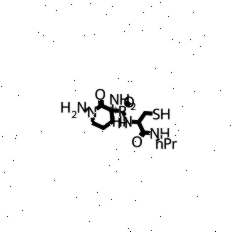 CCCNC(=O)C(CS)N[PH](=O)[C@@]1(N)CCCN(N)C1=O